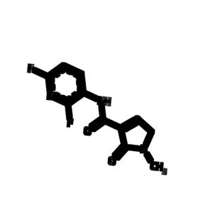 CN1CC=C(C(=O)Nc2ccc(F)nc2F)C1=O